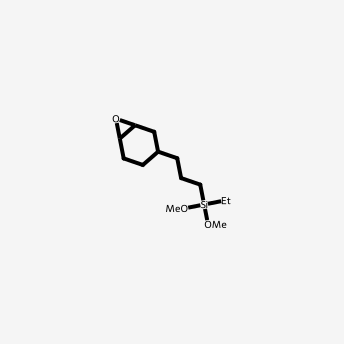 CC[Si](CCCC1CCC2OC2C1)(OC)OC